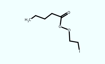 CCCCC(=O)OOCCI